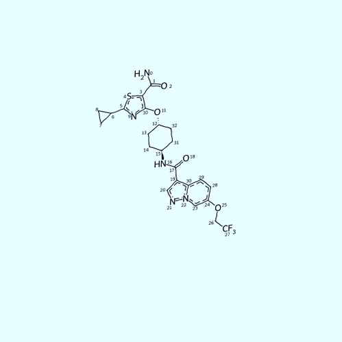 NC(=O)c1sc(C2CC2)nc1O[C@H]1CC[C@H](NC(=O)c2cnn3cc(OCC(F)(F)F)ccc23)CC1